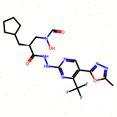 Cc1nnc(-c2cnc(NNC(=O)[C@@H](CC3CCCC3)CN(O)C=O)nc2C(F)(F)F)o1